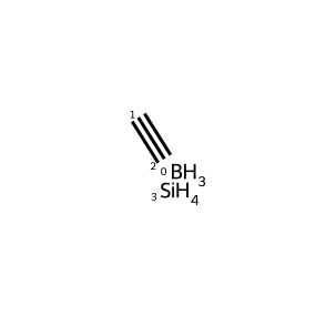 B.C#C.[SiH4]